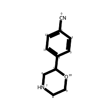 N#Cc1ccc(C2CNCCO2)cc1